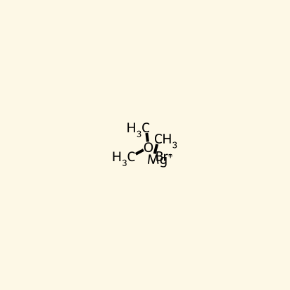 COC.[Br-].[CH3][Mg+]